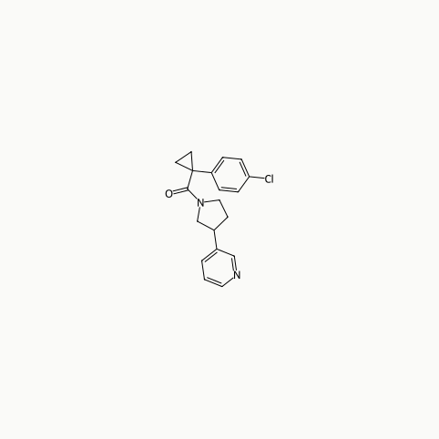 O=C(N1CCC(c2cccnc2)C1)C1(c2ccc(Cl)cc2)CC1